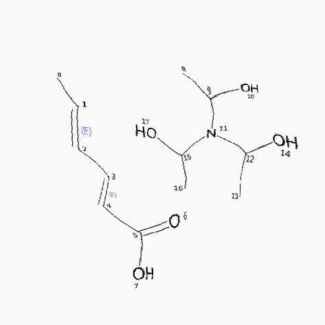 C/C=C/C=C/C(=O)O.CC(O)N(C(C)O)C(C)O